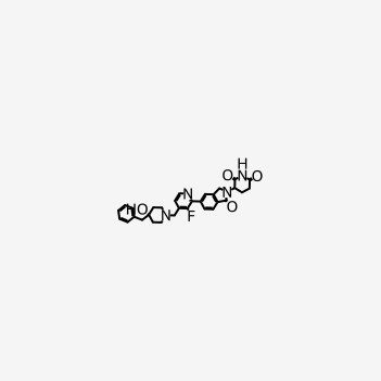 O=C1CCC(N2Cc3cc(-c4nccc(CN5CCC(O)(Cc6ccccc6)CC5)c4F)ccc3C2=O)C(=O)N1